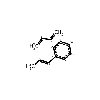 C=CC=C.CC=Cc1ccccc1